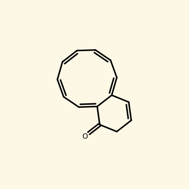 O=C1CC=Cc2ccccccccc21